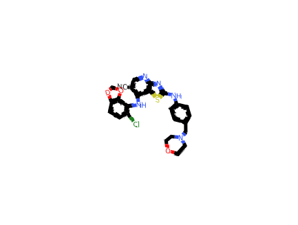 N#Cc1cnc2nc(Nc3ccc(CN4CCOCC4)cc3)sc2c1Nc1c(Cl)ccc2c1OCO2